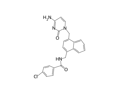 Nc1ccn(Cc2ccc(CNC(=O)c3ccc(Cl)cc3)c3ccccc23)c(=O)n1